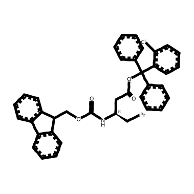 CC(C)C[C@H](CC(=O)OC(c1ccccc1)(c1ccccc1)c1ccccc1Cl)NC(=O)OCC1c2ccccc2-c2ccccc21